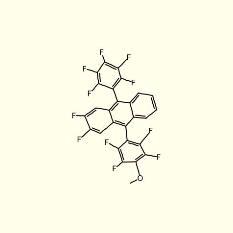 COc1c(F)c(F)c(-c2c3ccccc3c(-c3c(F)c(F)c(F)c(F)c3F)c3cc(F)c(F)cc23)c(F)c1F